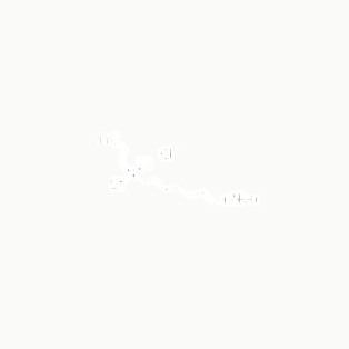 CCCCCCCCCCCCCCCC[N+](CC)(CC)CCO.[Cl-]